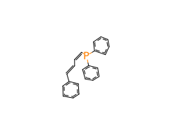 C(=C/P(c1ccccc1)c1ccccc1)/C=C/c1ccccc1